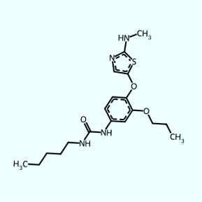 CCCCCNC(=O)Nc1ccc(Oc2cnc(NC)s2)c(OCCC)c1